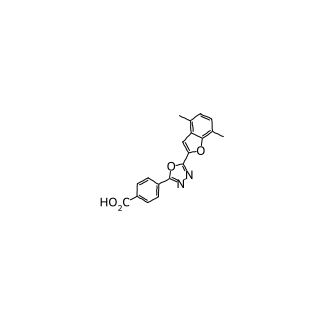 Cc1ccc(C)c2oc(-c3nnc(-c4ccc(C(=O)O)cc4)o3)cc12